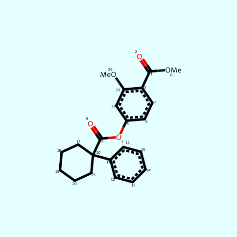 COC(=O)c1ccc(OC(=O)C2(c3ccccc3)CCCCC2)cc1OC